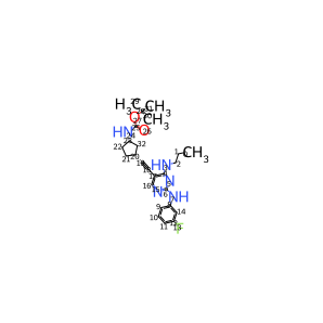 CCCNc1nc(Nc2cccc(F)c2)ncc1C#C[C@@H]1CC[C@H](NC(=O)OC(C)(C)C)C1